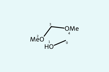 CO.COCOC